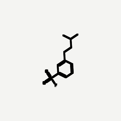 CC(C)CCc1cccc(S(=O)(=O)F)c1